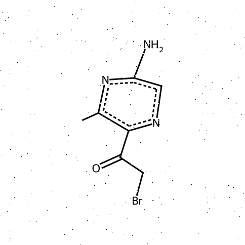 Cc1nc(N)cnc1C(=O)CBr